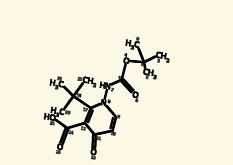 CC(C)(C)OC(=O)Nn1ccc(=O)c(C(=O)O)c1C(C)(C)C